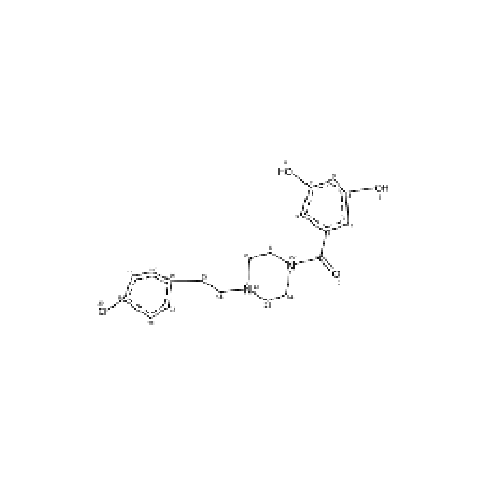 O=C(c1cc(O)cc(O)c1)N1CCN(CCc2ccc(Cl)cc2)CC1